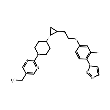 CCc1cnc(N2CCC([C@@H]3C[C@H]3CCOc3ccc(-n4cnnn4)c(F)c3)CC2)nc1